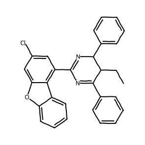 CCC1C(c2ccccc2)=NC(c2cc(Cl)cc3oc4ccccc4c23)=NC1c1ccccc1